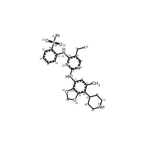 Cc1cc(Nc2ncc(CI)c(Nc3ccccc3S(=O)(=O)C(C)C)n2)c2c(c1C1CCNCC1)OCO2